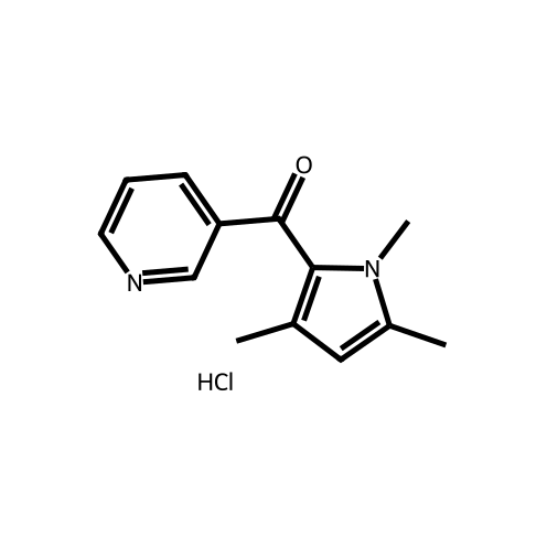 Cc1cc(C)n(C)c1C(=O)c1cccnc1.Cl